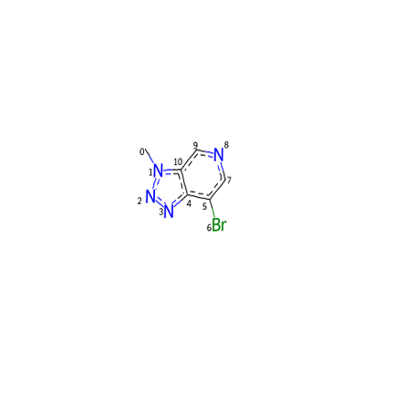 Cn1nnc2c(Br)cncc21